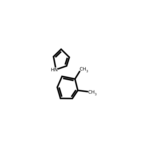 Cc1ccccc1C.c1cc[nH]c1